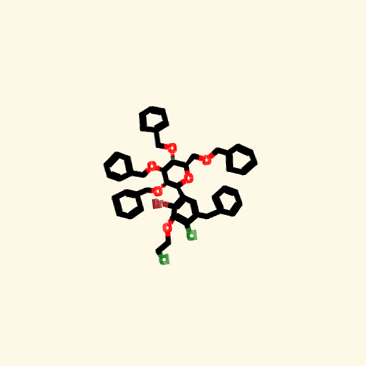 ClCCOc1c(Cl)c(Cc2ccccc2)cc([C@@H]2O[C@H](COCc3ccccc3)[C@@H](OCc3ccccc3)[C@H](OCc3ccccc3)[C@H]2OCc2ccccc2)c1Br